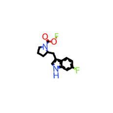 O=C(OF)N1CCCC1Cc1c[nH]c2cc(F)ccc12